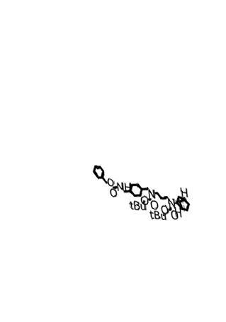 CC(C)(C)OC(=O)N(CCCN(C(=O)OC(C)(C)C)[C@H]1C[C@@H]2CC[C@H]1C2)CC1CCC(CNC(=O)OCc2ccccc2)CC1